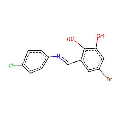 Oc1cc(Br)cc(C=Nc2ccc(Cl)cc2)c1O